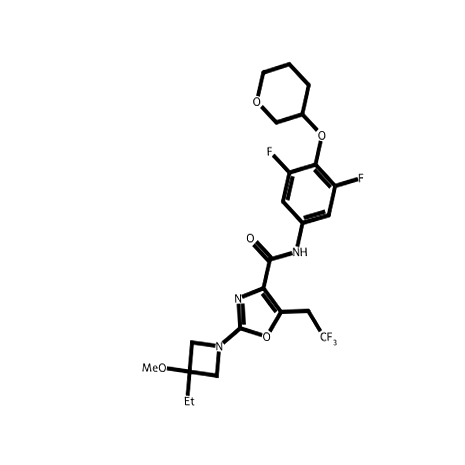 CCC1(OC)CN(c2nc(C(=O)Nc3cc(F)c(OC4CCCOC4)c(F)c3)c(CC(F)(F)F)o2)C1